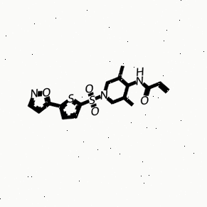 C=CC(=O)NC1C(C)CN(S(=O)(=O)c2ccc(-c3ccno3)s2)CC1C